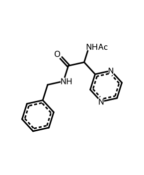 CC(=O)NC(C(=O)NCc1ccccc1)c1cnccn1